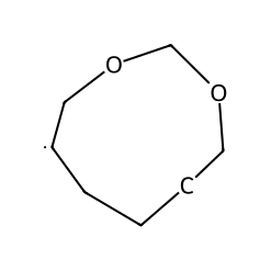 [CH]1CCCCOCOC1